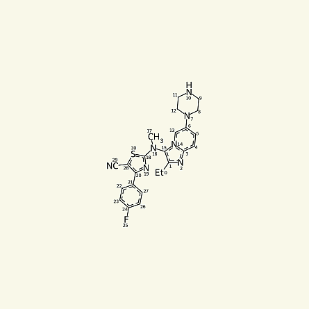 CCc1nc2ccc(N3CCNCC3)cn2c1N(C)c1nc(-c2ccc(F)cc2)c(C#N)s1